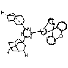 c1ccc2c(c1)Oc1ccccc1C21c2ccccc2-c2cc(-c3nc(C45CCC6C[C@H](CC6C4)C5)nc(C45CC6C[C@H]7C[C@@H](C4)CC67C5)n3)ccc21